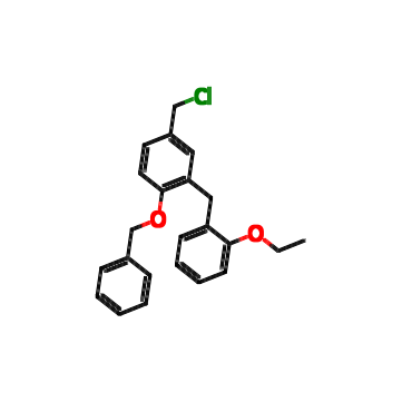 CCOc1ccccc1Cc1cc(CCl)ccc1OCc1ccccc1